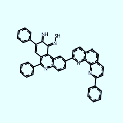 N=C1C(c2ccccc2)=Cc2c(-c3ccccc3)nc3ccc(-c4ccc5ccc6ccc(-c7ccccc7)nc6c5n4)cc3c2/C1=N/S